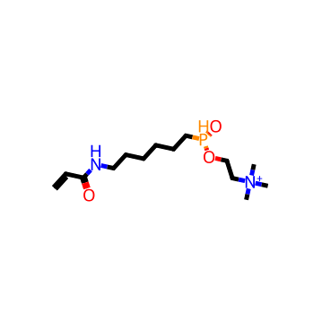 C=CC(=O)NCCCCCC[PH](=O)OCC[N+](C)(C)C